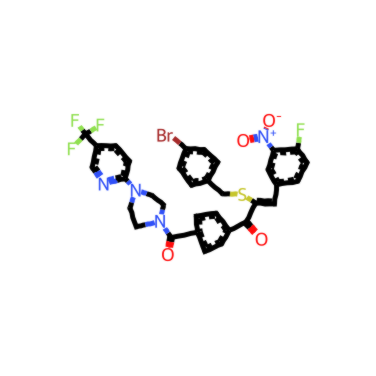 O=C(C(=Cc1ccc(F)c([N+](=O)[O-])c1)SCc1ccc(Br)cc1)c1ccc(C(=O)N2CCN(c3ccc(C(F)(F)F)cn3)CC2)cc1